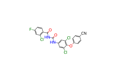 N#Cc1ccc(Oc2c(Cl)cc(NC(=O)NC(=O)c3ccc(F)cc3Cl)cc2Cl)cc1